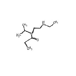 CCNCCN(C(=O)CC)C(C)C